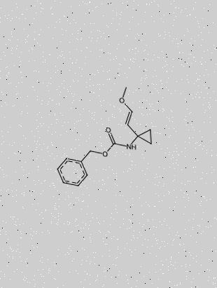 CO/C=C/C1(NC(=O)OCc2ccccc2)CC1